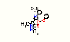 CC1=CC(c2ccc(-c3cccc([N+](=O)[O-])c3)nc2)C(C(=O)OCCOc2ccccc2)=C(C)N1